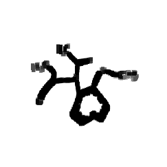 CSc1ccccc1N(C(C)=O)C(C)=O